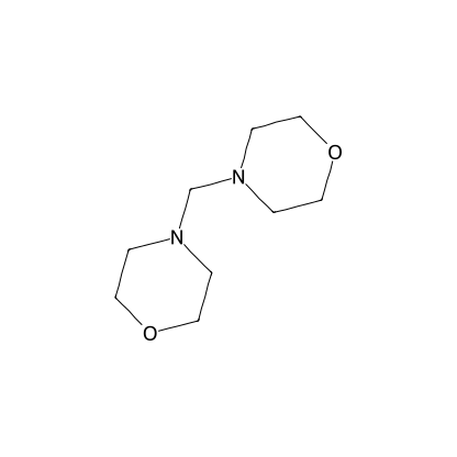 C1CN(CN2CCOCC2)CCO1